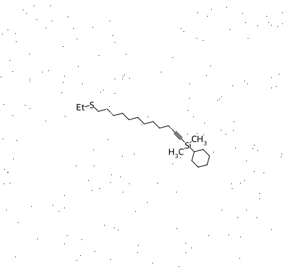 CCSCCCCCCCCCCC#C[Si](C)(C)C1CCCCC1